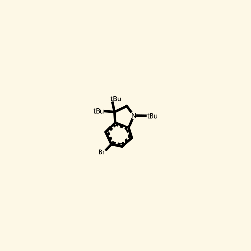 CC(C)(C)N1CC(C(C)(C)C)(C(C)(C)C)c2cc(Br)ccc21